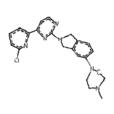 CN1CCN(c2ccc3c(c2)CN(c2nccc(-c4cccc(Cl)n4)n2)C3)CC1